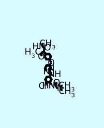 CNC(=O)c1c(C)oc2cc(Oc3ccnc(Nc4ccc(Cl)c(NC(=O)CN(C)C)c4)n3)ccc12